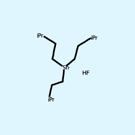 CC(C)C[CH2][Sn]([CH2]CC(C)C)[CH2]CC(C)C.F